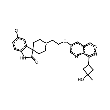 CC1(O)CC(c2nncc3cc(OCCN4CCC5(CC4)C(=O)Nc4ccc(Cl)cc45)cnc23)C1